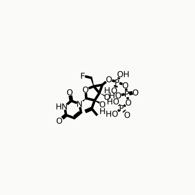 C=C(C)[C@]1(O)[C@H](n2ccc(=O)[nH]c2=O)O[C@]2(CF)C(OP(=O)(O)OP(=O)(O)OP(=O)(O)O)[C@]21O